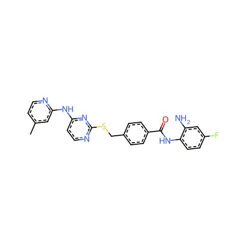 Cc1ccnc(Nc2ccnc(SCc3ccc(C(=O)Nc4ccc(F)cc4N)cc3)n2)c1